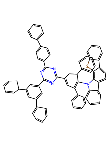 C1=CCC(c2cc(-c3ccccc3)cc(-c3nc(C4=CC(c5ccccc5)=C(n5c6ccccc6c6ccc7c8ccccc8sc7c65)C(c5ccccc5)C4)nc(-c4ccc(-c5ccccc5)cc4)n3)c2)C=C1